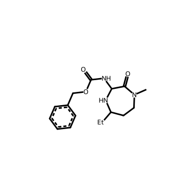 CCC1CCN(C)C(=O)C(NC(=O)OCc2ccccc2)N1